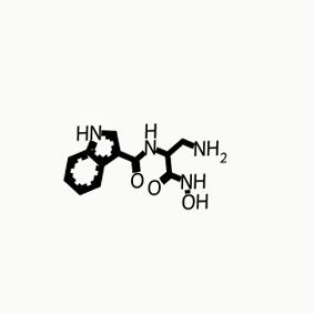 NCC(NC(=O)c1c[nH]c2ccccc12)C(=O)NO